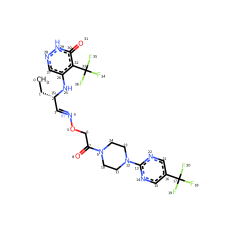 CC[C@@H](/C=N/OCC(=O)N1CCN(c2ncc(C(F)(F)F)cn2)CC1)Nc1cn[nH]c(=O)c1C(F)(F)F